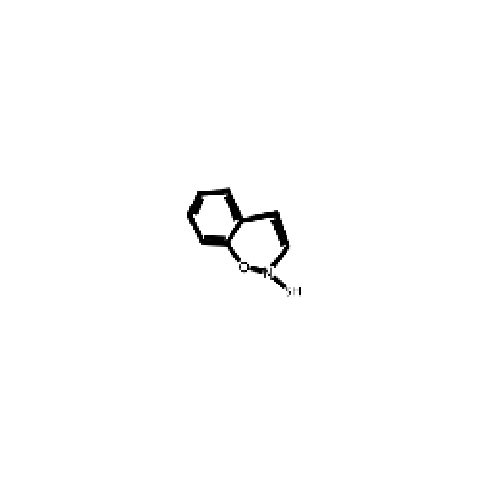 SN1C=Cc2ccccc2O1